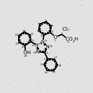 O=C(O)COc1ccccc1-n1nc(-c2ccccc2)n[n+]1-c1ccccc1O.[Cl-]